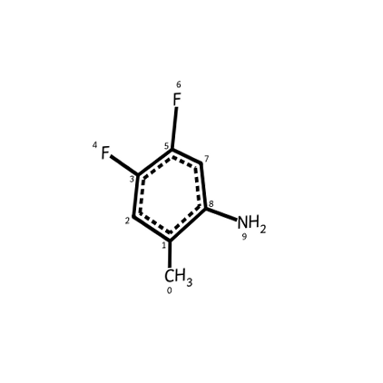 Cc1cc(F)c(F)cc1N